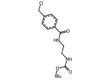 CC(C)(C)OC(=O)NCCNC(=O)c1ccc(CCl)cc1